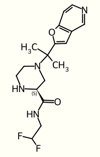 CC(C)(c1cc2cnccc2o1)N1CCN[C@H](C(=O)NCC(F)F)C1